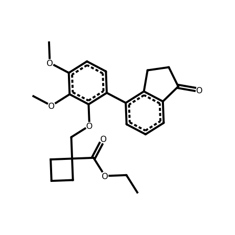 CCOC(=O)C1(COc2c(-c3cccc4c3CCC4=O)ccc(OC)c2OC)CCC1